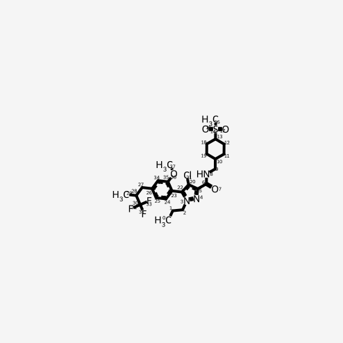 CCCn1nc(C(=O)NCC2CCC(S(C)(=O)=O)CC2)c(Cl)c1-c1ccc(CC(C)C(F)(F)F)cc1OC